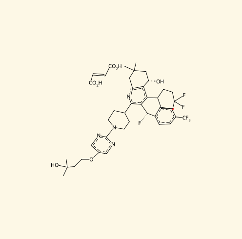 CC(C)(O)CCOc1cnc(N2CCC(c3nc4c(c(C5CCC(F)(F)CC5)c3[C@@H](F)c3ccc(C(F)(F)F)cc3)[C@@H](O)CC(C)(C)C4)CC2)nc1.O=C(O)C=CC(=O)O